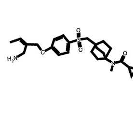 C/C=C(\CN)COc1ccc(S(=O)(=O)CC23CCC(N(C)C(=O)C4CC4)(CC2)CC3)cc1